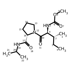 CC[C@@H](C)[C@H](NC(=O)OC)C(=O)N1CCC[C@H]1C(=O)NC(C)C